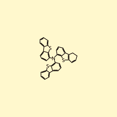 C1=Cc2sc3c(N(c4cccc5c4sc4ccccc45)c4cccc5c4sc4ccccc45)cccc3c2CC1